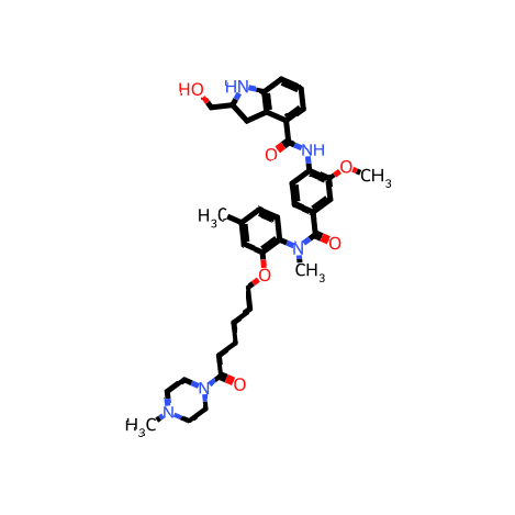 COc1cc(C(=O)N(C)c2ccc(C)cc2OCCCCCC(=O)N2CCN(C)CC2)ccc1NC(=O)c1cccc2c1CC(CO)N2